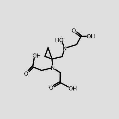 O=C(O)CN(O)CC1(N(CC(=O)O)CC(=O)O)CC1